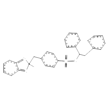 CC1(Cc2ccc(S(=O)(=O)NC(Cc3ccccc3)c3ccccc3)cc2)N=c2ccccc2=N1